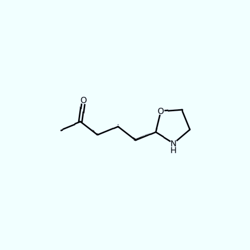 CC(=O)C[CH]CC1NCCO1